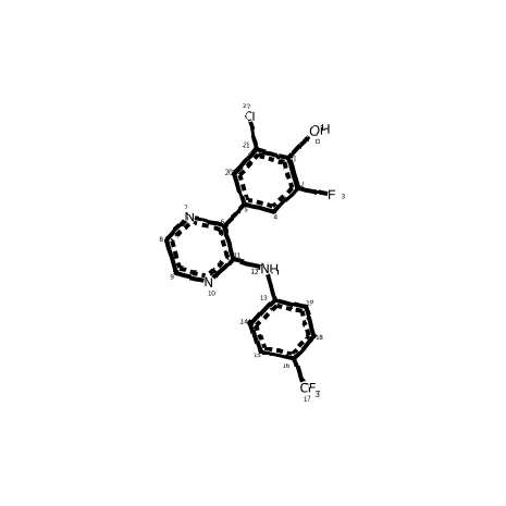 Oc1c(F)cc(-c2nccnc2Nc2ccc(C(F)(F)F)cc2)cc1Cl